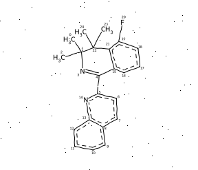 CC1(C)N=C(c2ccc3ccccc3n2)c2cccc(F)c2C1(C)C